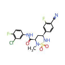 CN1[C@@H](C(=O)Nc2ccc(F)c(Cl)c2)C[C@@H](c2ccc(C#N)c(F)c2)NS1(=O)=O